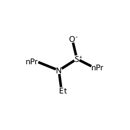 CCCN(CC)[S+]([O-])CCC